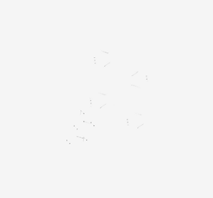 CN(C(=N)NC(=N)N)c1cc(OCc2ccccc2)c(OCc2ccccc2)c(OCc2ccccc2)c1